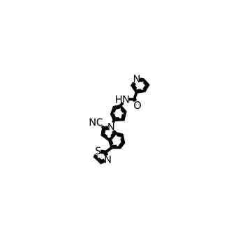 N#Cc1cc2c(-c3nccs3)cccc2n1-c1ccc(NC(=O)c2cccnc2)cc1